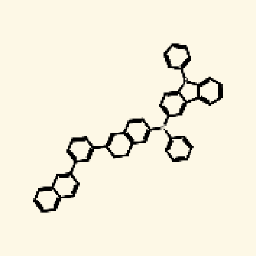 C1=C(c2cccc(-c3ccc4ccccc4c3)c2)CCc2cc(N(c3ccccc3)c3ccc4c(c3)c3ccccc3n4-c3ccccc3)ccc21